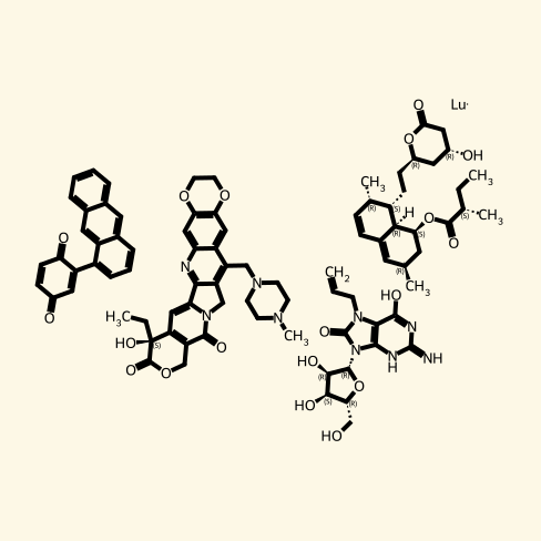 C=CCn1c(=O)n([C@@H]2O[C@H](CO)[C@@H](O)[C@H]2O)c2[nH]c(=N)nc(O)c21.CC[C@@]1(O)C(=O)OCc2c1cc1n(c2=O)Cc2c-1nc1cc3c(cc1c2CN1CCN(C)CC1)OCCO3.CC[C@H](C)C(=O)O[C@H]1C[C@@H](C)C=C2C=C[C@H](C)[C@H](CC[C@@H]3C[C@@H](O)CC(=O)O3)[C@H]21.O=C1C=CC(=O)C(c2cccc3cc4ccccc4cc23)=C1.[Lu]